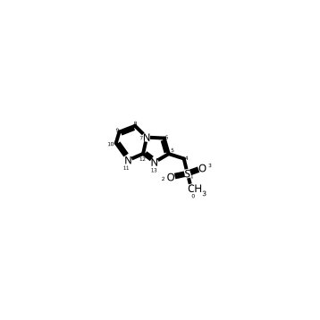 CS(=O)(=O)Cc1cn2cccnc2n1